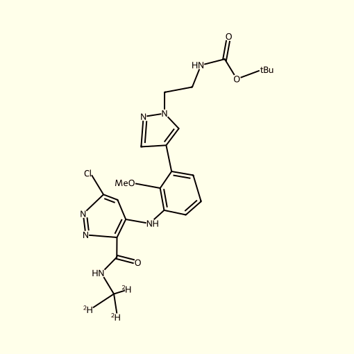 [2H]C([2H])([2H])NC(=O)c1nnc(Cl)cc1Nc1cccc(-c2cnn(CCNC(=O)OC(C)(C)C)c2)c1OC